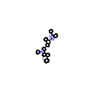 c1ccc(-c2nc([C@H]3Cc4ccc(-c5ccc6c(c5)c5c7cccc8c7c(cc5n6-c5ccccc5)Sc5ccccc5-8)cc4-c4ccccc43)nc3ccccc23)cc1